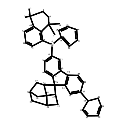 CC1(C)CCC(C)(C)c2c(N(c3ccccc3)c3ccc4c(c3)-c3ccc(C5C=CC=CC5)cc3C43C4CC5CC6CC3C64C5)cccc21